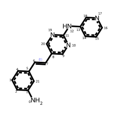 Nc1cccc(/C=C/c2cnc(Nc3cccnc3)nc2)c1